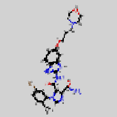 Cc1ccc(Br)cc1-n1cnc(C(N)=O)c1C(=O)Nc1nc2cc(OCCCN3CCOCC3)ccc2[nH]1